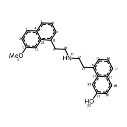 COc1ccc2cccc(CCNCCc3cccc4ccc(O)cc34)c2c1